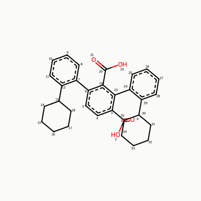 O=C(O)c1ccc(-c2ccccc2C2CCCCC2)c(C(=O)O)c1-c1ccccc1C1CCCCC1